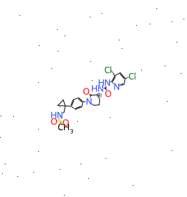 CS(=O)(=O)NCC1(c2ccc(N3CCC[C@@H](NC(=O)Nc4ncc(Cl)cc4Cl)C3=O)cc2)CC1